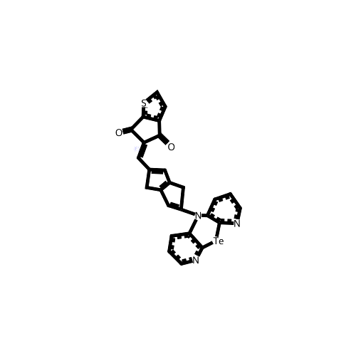 O=C1/C(=C\C2=CC3=C(C=C(N4c5cccnc5[Te]c5ncccc54)C3)C2)C(=O)c2sccc21